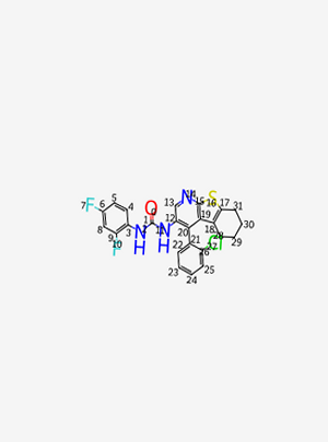 O=C(Nc1ccc(F)cc1F)Nc1cnc2sc3c(c2c1-c1ccccc1Cl)CCCC3